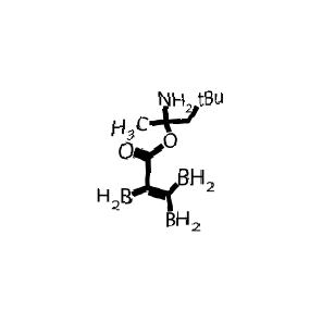 BC(B)=C(B)C(=O)OC(C)(N)CC(C)(C)C